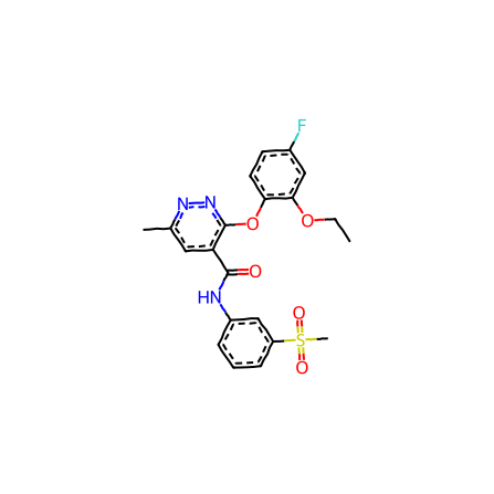 CCOc1cc(F)ccc1Oc1nnc(C)cc1C(=O)Nc1cccc(S(C)(=O)=O)c1